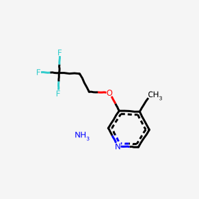 Cc1ccncc1OCCC(F)(F)F.N